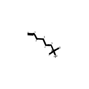 C=CCCCCC(C)(C)F